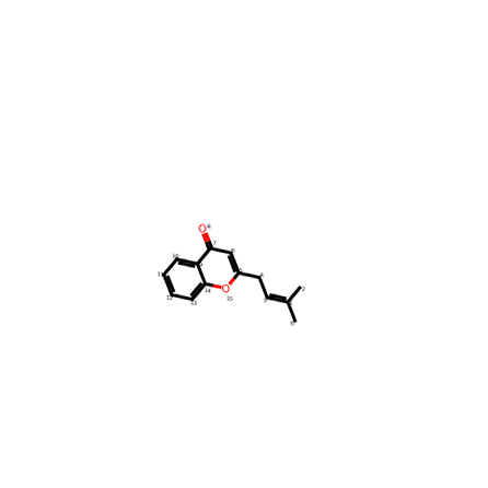 CC(C)=CCc1cc(=O)c2ccccc2o1